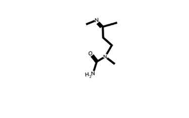 CN=C(C)CCN(C)C(N)=O